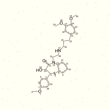 COc1ccc(C2Sc3ccccc3N(CCNCCCc3ccc(OC)c(OC)c3)C(=O)C2O)cc1